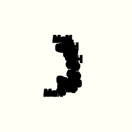 CN[C@@H](C)C(=O)NC(C(=O)N1CCC[C@H]1C(=O)N[C@@H]1CCCc2c(-c3cccc4c3CCC[C@H]4NC(=O)[C@@H]3CCCN3C(=O)[C@@H](NC(=O)[C@H](C)NC)C3CCOCC3)cccc21)C1CCOCC1